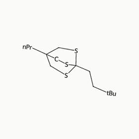 CCCC12CSC(CCC(C)(C)C)(SC1)SC2